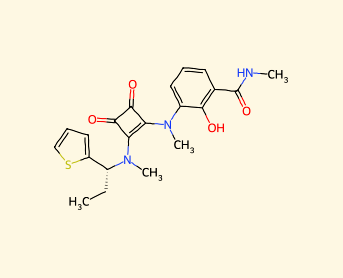 CC[C@H](c1cccs1)N(C)c1c(N(C)c2cccc(C(=O)NC)c2O)c(=O)c1=O